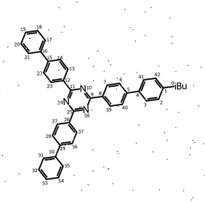 CCC(C)c1ccc(-c2ccc(-c3nc(-c4ccc(-c5ccccc5)cc4)nc(-c4ccc(-c5ccccc5)cc4)n3)cc2)cc1